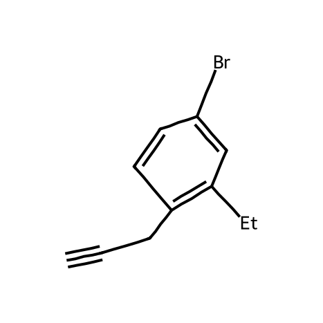 C#CCc1ccc(Br)cc1CC